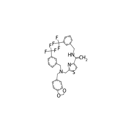 C=C(NCc1cccc(C(F)(F)F)c1)c1csc(CN(Cc2cccc(C(F)(F)F)c2)Cc2ccc3c(c2)OCO3)n1